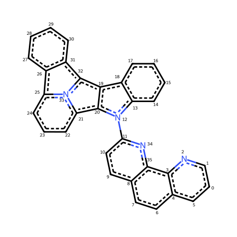 c1cnc2c(c1)ccc1ccc(-n3c4ccccc4c4c3c3cccc5c6ccccc6c4n53)nc12